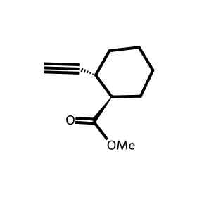 C#C[C@@H]1CCCC[C@H]1C(=O)OC